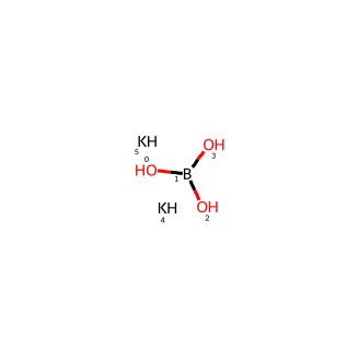 OB(O)O.[KH].[KH]